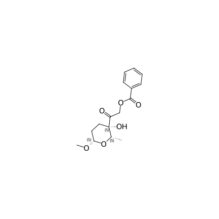 CO[C@@H]1CC[C@@](O)(C(=O)COC(=O)c2ccccc2)[C@H](C)O1